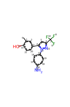 Cc1cc(-c2cc(C(F)(F)F)nn2-c2ccc(N)cc2)ccc1O